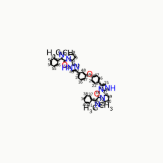 CN(C)C(C(=O)N1CCC[C@H]1c1nc(-c2cccc(Oc3ccc(-c4c[nH]c([C@@H]5CCCN5C(=O)[C@@H](c5ccccc5)N(C)C)n4)cc3)c2)c[nH]1)c1ccccc1